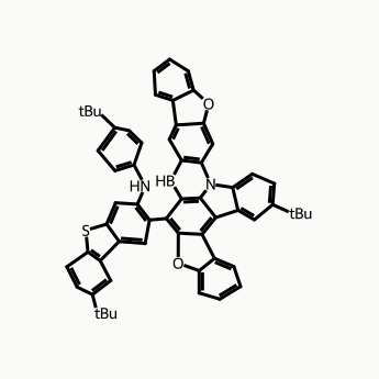 CC(C)(C)c1ccc(Nc2cc3sc4ccc(C(C)(C)C)cc4c3cc2-c2c3c4c(c5cc(C(C)(C)C)ccc5n4-c4cc5oc6ccccc6c5cc4B3)c3c2oc2ccccc23)cc1